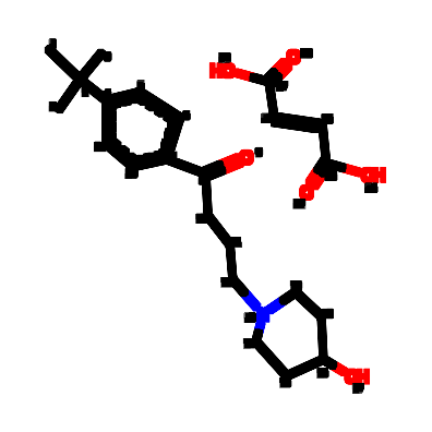 CC(C)(C)c1ccc(C(=O)CCCN2CCC(O)CC2)cc1.O=C(O)C=CC(=O)O